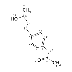 CC(=O)Oc1ccc(CCC(C)O)cc1